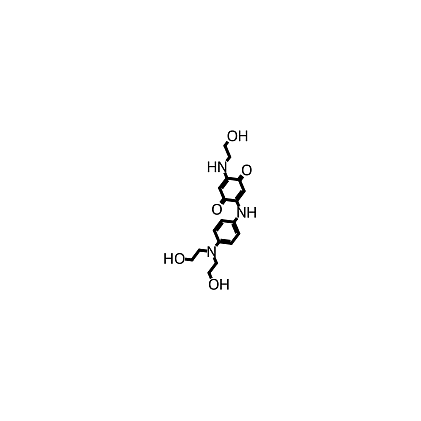 O=C1C=C(Nc2ccc(N(CCO)CCO)cc2)C(=O)C=C1NCCO